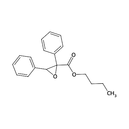 CCCCOC(=O)C1(c2ccccc2)OC1c1ccccc1